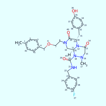 Cc1ccc(COCCN2C[C@H]3N(C(=O)CN(C)N3C(=O)NCc3ccc(F)cc3)[C@@H](Cc3ccc(O)cc3)C2=O)cc1